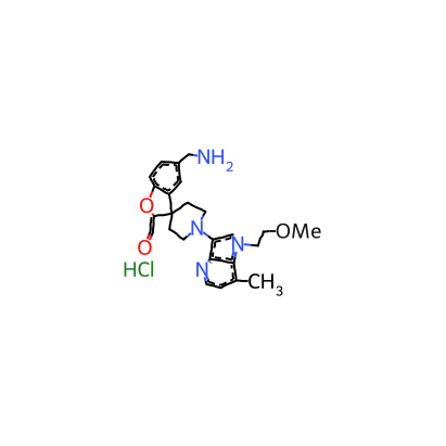 COCCn1cc(N2CCC3(CC2)C(=C=O)Oc2ccc(CN)cc23)c2nccc(C)c21.Cl